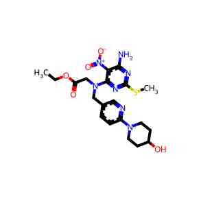 CCOC(=O)CN(Cc1ccc(N2CCC(O)CC2)nc1)c1nc(SC)nc(N)c1[N+](=O)[O-]